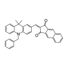 CC1(C)c2ccccc2N(Cc2ccccc2)c2ccc(C=C3C(=O)c4cc5ccccc5cc4C3=O)cc21